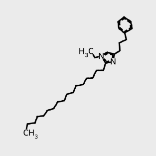 CCCCCCCCCCCCCCCCCc1nc(CCCc2ccccc2)cn1CC